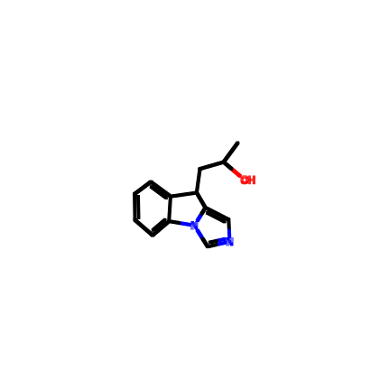 CC(O)CC1c2ccccc2-n2cncc21